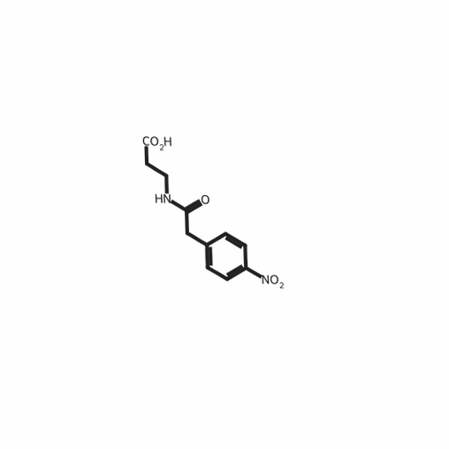 O=C(O)CCNC(=O)Cc1ccc([N+](=O)[O-])cc1